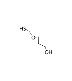 OCCCOCS